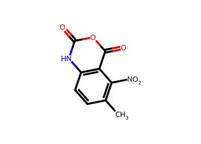 Cc1ccc2[nH]c(=O)oc(=O)c2c1[N+](=O)[O-]